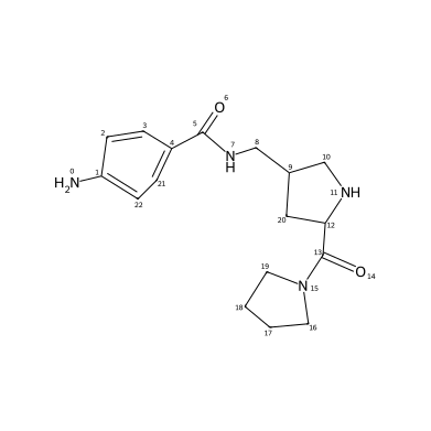 Nc1ccc(C(=O)NCC2CNC(C(=O)N3CCCC3)C2)cc1